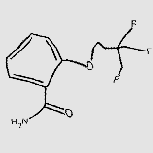 NC(=O)c1ccccc1OCC(F)(F)F